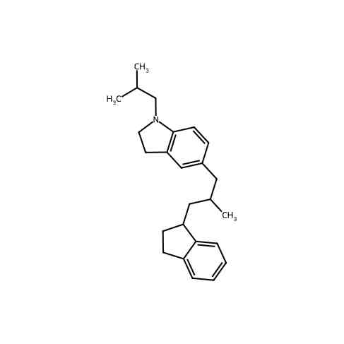 CC(C)CN1CCc2cc(CC(C)CC3CCc4ccccc43)ccc21